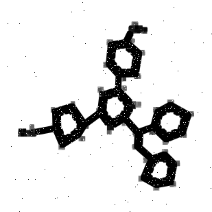 COc1ccc(-c2nc(C(=Cc3ccccc3)c3ccccc3)nc(-c3ccc(OC)cc3)n2)cc1